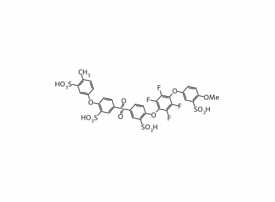 COc1ccc(Oc2c(F)c(F)c(Oc3ccc(S(=O)(=O)c4ccc(Oc5ccc(C)c(S(=O)(=O)O)c5)c(S(=O)(=O)O)c4)cc3S(=O)(=O)O)c(F)c2F)cc1S(=O)(=O)O